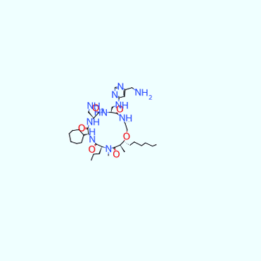 CCCCCC[C@H]1OC[C@@H](C)NC(=O)[C@H](CNc2cc(CN)ncn2)NC(=O)[C@H](CN)NC(=O)[C@H](C2CCCCCC2)NC(=O)[C@H](CCC)N(C)C(=O)[C@@H]1C